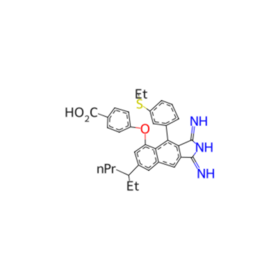 CCCC(CC)c1cc(Oc2ccc(C(=O)O)cc2)c2c(-c3cccc(SCC)c3)c3c(cc2c1)C(=N)NC3=N